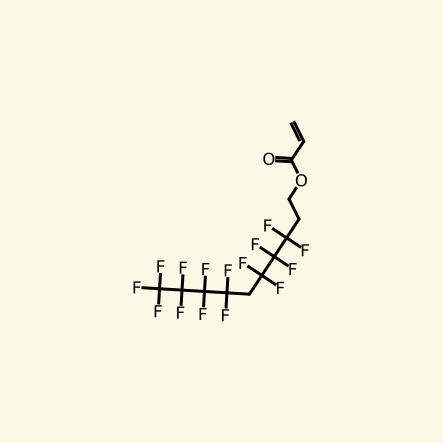 C=CC(=O)OCCC(F)(F)C(F)(F)C(F)(F)CC(F)(F)C(F)(F)C(F)(F)C(F)(F)F